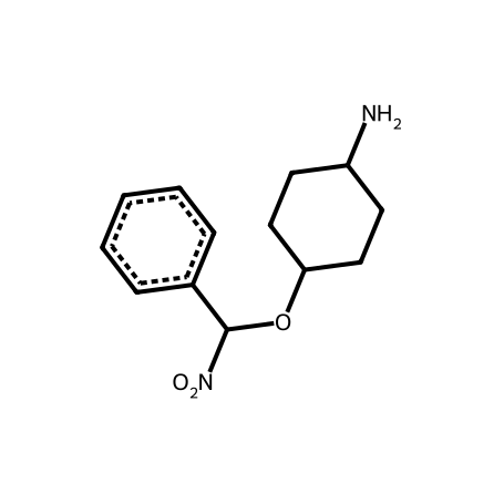 NC1CCC(OC(c2ccccc2)[N+](=O)[O-])CC1